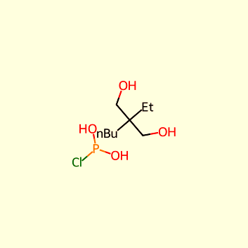 CCCCC(CC)(CO)CO.OP(O)Cl